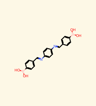 OB(O)c1ccc(/C=N/c2ccc(/N=C/c3ccc(B(O)O)cc3)cc2)cc1